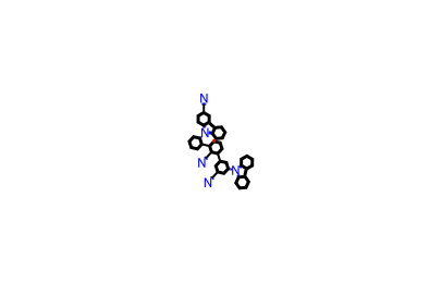 N#Cc1cc(-c2cccc(-c3ccccc3-n3c4ccccc4c4cc(C#N)ccc43)c2C#N)cc(-n2c3ccccc3c3ccccc32)c1